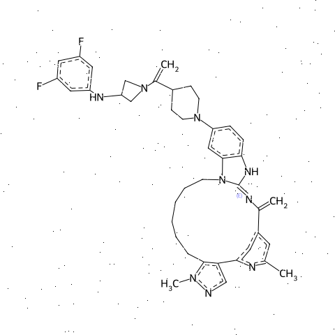 C=C1/N=C2\Nc3ccc(N4CCC(C(=C)N5CC(Nc6cc(F)cc(F)c6)C5)CC4)cc3N2CCCCCCc2c(cnn2C)-c2cc1cc(C)n2